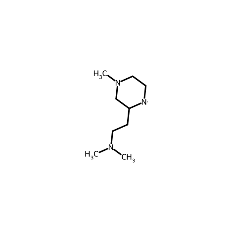 CN(C)CCC1CN(C)CC[N]1